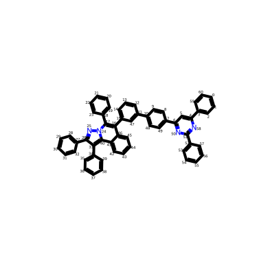 c1ccc(-c2cc(-c3ccc(-c4cccc(-c5c(-c6ccccc6)n6nc(-c7ccccc7)c(-c7ccccc7)c6c6ccccc56)c4)cc3)nc(-c3ccccc3)n2)cc1